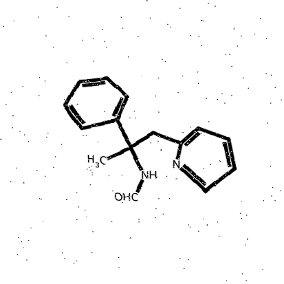 CC(Cc1ccccn1)(NC=O)c1ccccc1